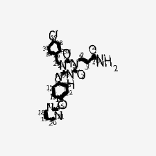 NC(=O)CCn1c(=O)[nH]/c(=N\c2ccc(Oc3ncccn3)cc2)n(Cc2ccc(Cl)cc2)c1=O